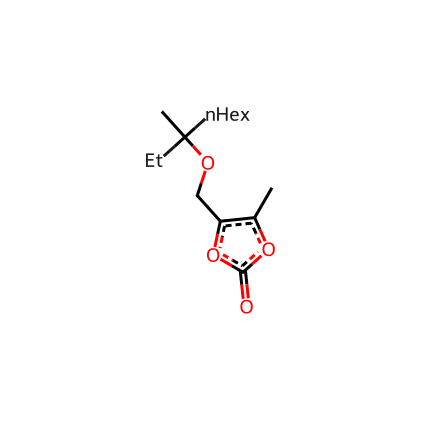 CCCCCCC(C)(CC)OCc1oc(=O)oc1C